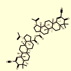 [C-]#[N+]C1=C[C@]2(C)[C@H]3CC[C@@H]4[C@H]5[C@H](C(=C)C)CC[C@]5(C(=O)OC(=O)[C@]56CC[C@@H](C(=C)C)[C@@H]5[C@H]5CC[C@@H]7[C@@]8(C)C=C(C#N)C(=O)C(C)(C)[C@@H]8CC[C@@]7(C)[C@]5(C)CC6)CC[C@@]4(C)[C@]3(C)CC[C@H]2C(C)(C)C1=O